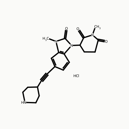 CN1C(=O)CCC(n2c(=O)n(C)c3cc(C#CC4CCNCC4)ccc32)C1=O.Cl